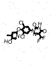 Cc1cc(Oc2c(Cl)cc(-n3nc(C(F)F)c(=O)[nH]c3=O)cc2Cl)ncc1O